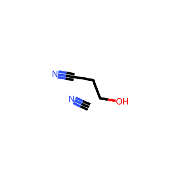 C#N.N#CCCO